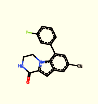 N#Cc1cc(-c2cccc(F)c2)c2c(c1)cc1n2CCNC1=O